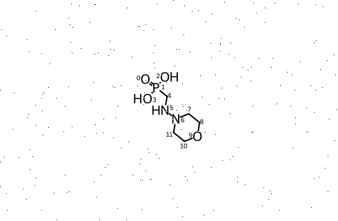 O=P(O)(O)CNN1CCOCC1